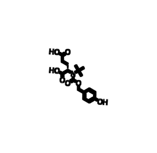 CC(C)(C)N(C(=O)OCc1ccc(O)cc1)[C@@H](CCC(=O)O)C(=O)O